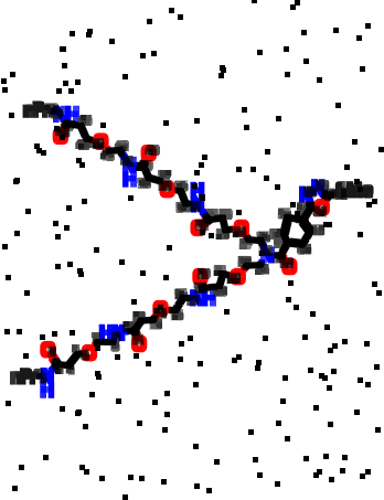 CCCNC(=O)CCOCCNC(=O)CCOCCNC(=O)CCOCCN(CCOCCC(=O)NCCOCCC(=O)NCCOCCC(=O)NCCC)C(=O)c1ccc(-c2nnc(SC)o2)cc1